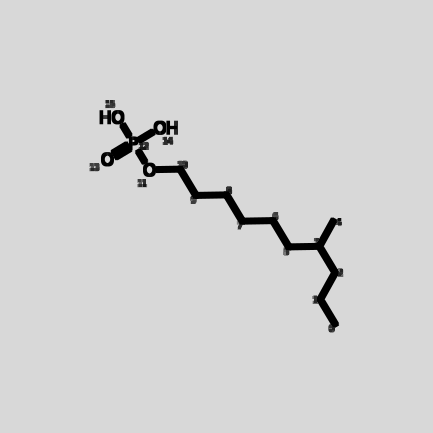 CCCC(C)CCCCCCOP(=O)(O)O